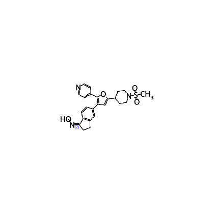 CS(=O)(=O)N1CCC(c2cc(-c3ccc4c(c3)CC/C4=N/O)c(-c3ccncc3)o2)CC1